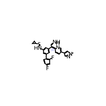 Cn1cc(C2=CN/C(=C(\C=N)c3cc(NSC4CC4)cc(-c4ccc(F)cc4F)c3)C=C2)cn1